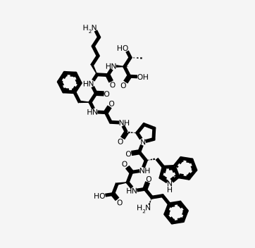 C[C@@H](O)[C@H](NC(=O)[C@H](CCCCN)NC(=O)[C@H](Cc1ccccc1)NC(=O)CNC(=O)[C@@H]1CCCN1C(=O)[C@H](Cc1c[nH]c2ccccc12)NC(=O)[C@H](CC(=O)O)NC(=O)[C@@H](N)Cc1ccccc1)C(=O)O